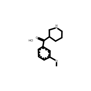 COc1cccc(C(=O)C2CCCNC2)c1.Cl